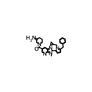 Cn1c(-c2ccc(Cc3ccccc3)n2CC2CC2)nc2cc(C(=O)N3CCC[C@@H](N)C3)cnc21